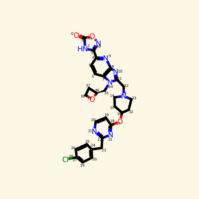 O=c1[nH]c(-c2ccc3c(n2)nc(CN2CCC(Oc4ccnc(Cc5ccc(Cl)cc5)n4)CC2)n3C[C@@H]2CCO2)no1